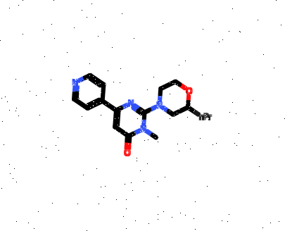 CCCC1CN(c2nc(-c3ccncc3)cc(=O)n2C)CCO1